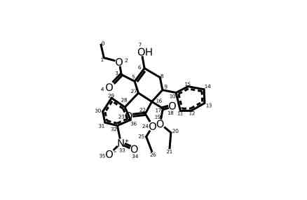 CCOC(=O)C1=C(O)CC(c2ccccc2)C(C(=O)OCC)(C(=O)OCC)C1c1cccc([N+](=O)[O-])c1